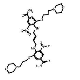 NC(=O)c1cc(OCCCN2CCOCC2)c(NC/C=C/CNc2c(OCCCN3CCOCC3)cc(C(N)=O)cc2[N+](=O)[O-])c([N+](=O)[O-])c1